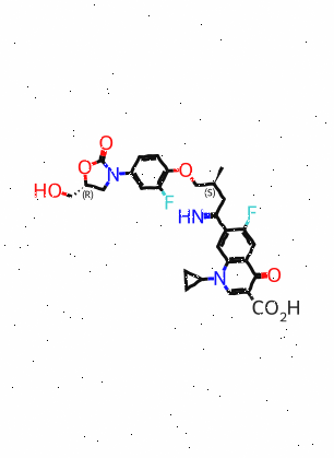 C[C@H](COc1ccc(N2C[C@H](CO)OC2=O)cc1F)CC(=N)c1cc2c(cc1F)c(=O)c(C(=O)O)cn2C1CC1